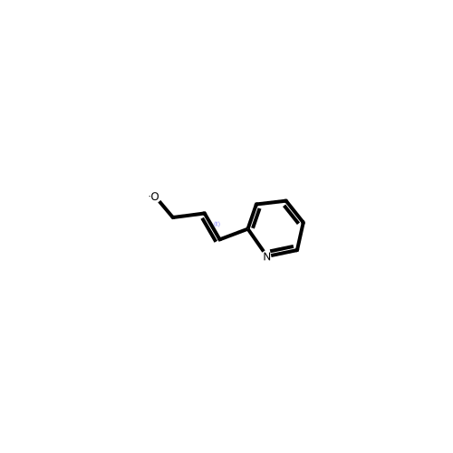 [O]C/C=C/c1ccccn1